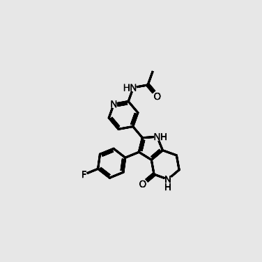 CC(=O)Nc1cc(-c2[nH]c3c(c2-c2ccc(F)cc2)C(=O)NCC3)ccn1